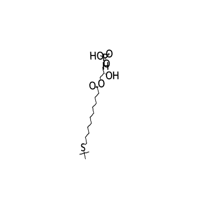 CC(C)(C)SCCCCCCCCCCCC(=O)OC[C@@H](O)CO[PH](=O)O